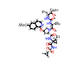 CC[C@@H]1C[C@]1(NC(=O)[C@@H]1C[C@@H](Oc2nccc3cc(OC)ccc23)CN1C(=O)[C@@H](NC(=O)N[C@H](C(=O)OC)C(C)C)C(C)(C)C)C(=O)NS(=O)(=O)C1CC1